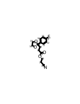 N#CCCOC(=O)CCC1(c2ccc(F)cc2)OCCO1